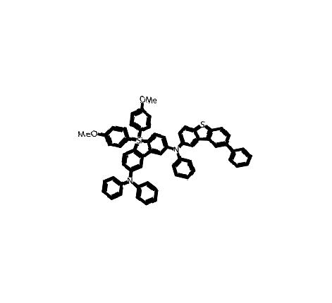 COc1ccc([Si]2(c3ccc(OC)cc3)c3ccc(N(c4ccccc4)c4ccccc4)cc3-c3cc(N(c4ccccc4)c4ccc5sc6ccc(-c7ccccc7)cc6c5c4)ccc32)cc1